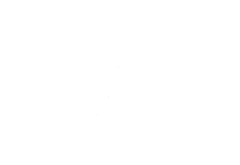 CC(C)C([O])c1ccc(C(F)(F)F)cc1